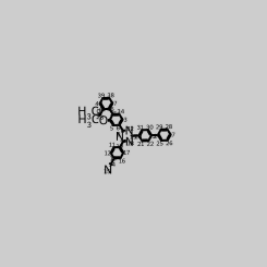 CC1(C)Oc2cc(-c3nc(-c4ccc(C#N)cc4)nc(-c4ccc(-c5ccccc5)cc4)n3)ccc2-c2ccccc21